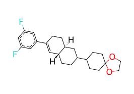 Fc1cc(F)cc(C2=C[C@H]3CCC(C4CCC5(CC4)OCCO5)C[C@@H]3CC2)c1